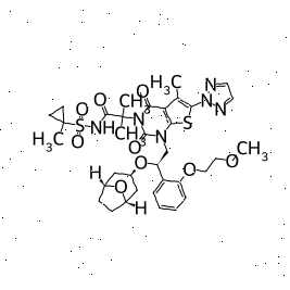 COCCOc1ccccc1[C@H](Cn1c(=O)n(C(C)(C)C(=O)NS(=O)(=O)C2(C)CC2)c(=O)c2c(C)c(-n3nccn3)sc21)O[C@@H]1C[C@H]2CC[C@@H](C1)O2